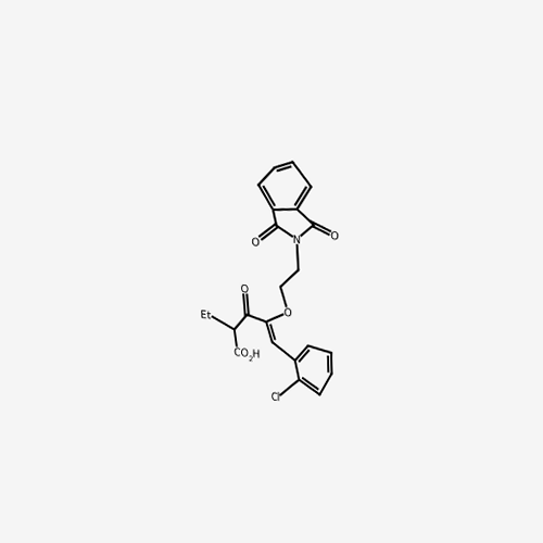 CCC(C(=O)O)C(=O)C(=Cc1ccccc1Cl)OCCN1C(=O)c2ccccc2C1=O